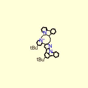 CC(C)(C)c1cc[n+]2c(c1)-c1cc3c4cc(C(C)(C)C)cc5c6ccccc6n(c3nc1CCC(c1ccccc1-c1ccccn1)CCC2)c54